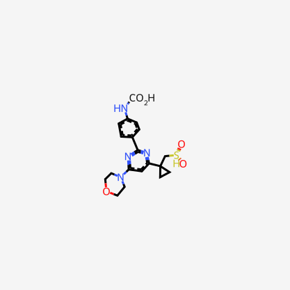 O=C(O)Nc1ccc(-c2nc(N3CCOCC3)cc(C3(C[SH](=O)=O)CC3)n2)cc1